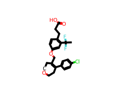 CC(F)(F)c1cc(OCC2=C(c3ccc(Cl)cc3)CCOCC2)ccc1CCC(=O)O